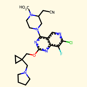 N#CCC1CN(c2nc(OCC3(CN4CCCC4)CC3)nc3c(F)c(Cl)ncc23)CCN1C(=O)O